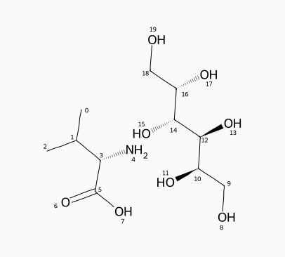 CC(C)[C@H](N)C(=O)O.OC[C@@H](O)[C@H](O)[C@H](O)[C@@H](O)CO